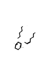 O=CCCCCC[C@@H]1[C@H](C/C=C\CCCC(=O)O)[C@@H]2CC[C@H]1O2